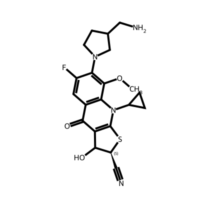 COc1c(N2CCC(CN)C2)c(F)cc2c(=O)c3c(n(C4CC4)c12)S[C@@H](C#N)C3O